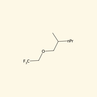 CCCC(C)COCC(F)(F)F